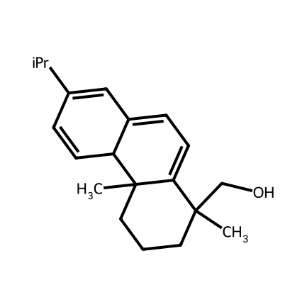 CC(C)C1=CC2=CC=C3C(C)(CO)CCCC3(C)C2C=C1